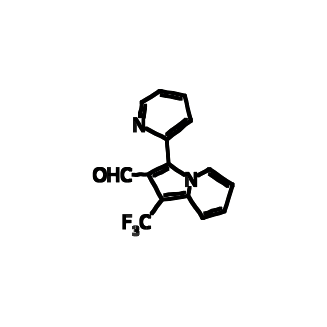 O=Cc1c(C(F)(F)F)c2ccccn2c1-c1ccccn1